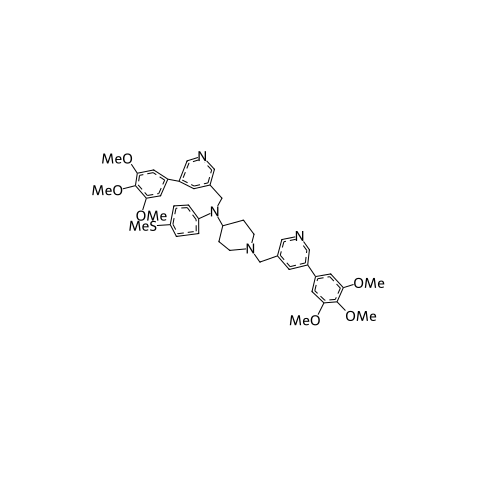 COc1cc(-c2cncc(CN3CCC(N(Cc4cncc(-c5cc(OC)c(OC)c(OC)c5)c4)c4ccc(SC)cc4)CC3)c2)cc(OC)c1OC